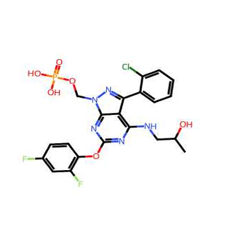 CC(O)CNc1nc(Oc2ccc(F)cc2F)nc2c1c(-c1ccccc1Cl)nn2COP(=O)(O)O